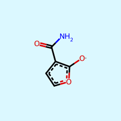 NC(=O)c1ccoc1[O]